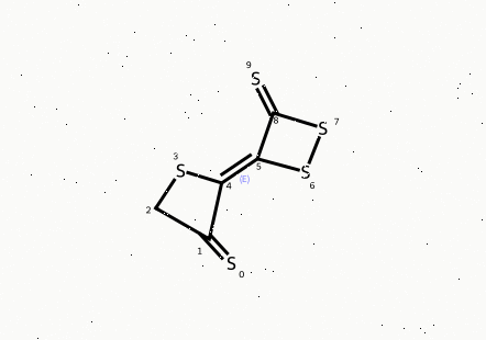 S=C1CS/C1=C1/SSC1=S